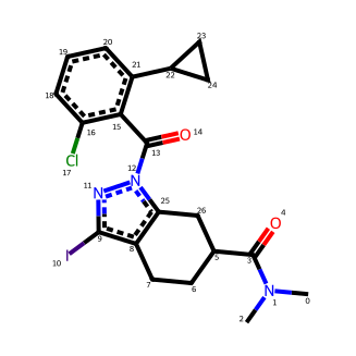 CN(C)C(=O)C1CCc2c(I)nn(C(=O)c3c(Cl)cccc3C3CC3)c2C1